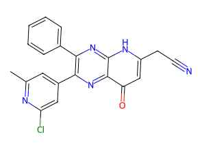 Cc1cc(-c2nc3c(=O)cc(CC#N)[nH]c3nc2-c2ccccc2)cc(Cl)n1